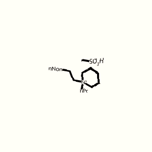 CCCCCCCCCCC[N+]1(CCC)CCCCC1.CS(=O)(=O)O